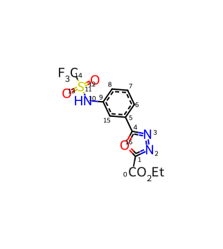 CCOC(=O)c1nnc(-c2cccc(NS(=O)(=O)C(F)(F)F)c2)o1